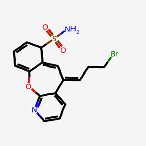 NS(=O)(=O)C1C=CC=C2Oc3ncccc3C(=CCCBr)C=C21